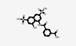 O=C(O)c1cccc(C(=O)Nc2cc(S(=O)(=O)O)cc3cc(S(=O)(=O)O)cc(O)c23)c1